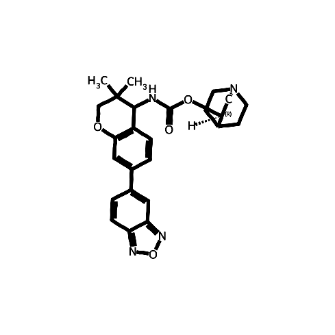 CC1(C)COc2cc(-c3ccc4nonc4c3)ccc2C1NC(=O)O[C@H]1CN2CCC1CC2